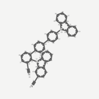 N#Cc1ccc2c3ccccc3n(-c3c(C#N)cccc3-c3ccc(-c4ccc(-n5c6ccccc6c6ccccc65)cc4)cc3)c2c1